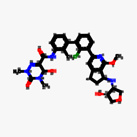 COc1nc(-c2cccc(-c3cccc(NC(=O)C4=NN(C)C(=O)N(C)C4O)c3C)c2Cl)cc2c1C(N[C@@H]1COC[C@@H]1O)CC2